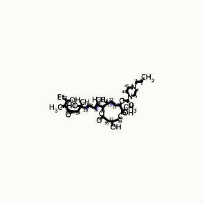 C=CCN1CCN(C(=O)OC2/C=C/C(C)C(/C(C)=C/C=C/C(C)(O)CC3OC3C(C)C(O)CC)OC(=O)CC(O)CCC2(C)O)CC1